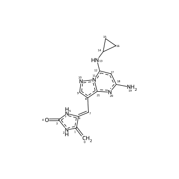 C=c1[nH]c(=O)[nH]/c1=C\c1cnn2c(NC3CC3)cc(N)nc12